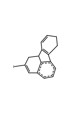 IC1=Cc2cccc3c2C(C1)C1=C3CCC=C1